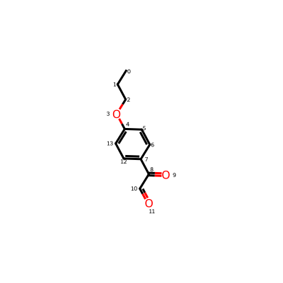 CCCOc1ccc(C(=O)C=O)cc1